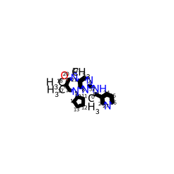 C[C@@H](Nc1ncc2c(n1)N(C1CCCC1)CC(C)(C)C(=O)N2C)c1cccnc1